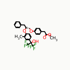 COC(=O)Cc1ccc(OC[C@@H](Cc2ccccc2)Oc2ccc(C(O)(C(F)(F)F)C(F)(F)F)cc2C)cc1